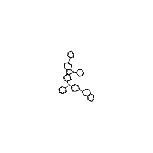 C1=CCC(n2c3c(c4ccc(N(c5ccccc5)c5ccc(C6CCc7ccccc7C6)cc5)cc42)CCC(c2ccccc2)=C3)C=C1